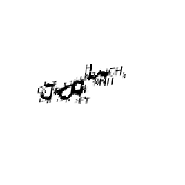 Cc1cc(Nc2cc3cc(N4CCOCC4)ccc3c(C(C)C)n2)n[nH]1